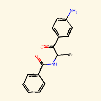 CC(C)C(NC(=O)c1ccccc1)C(=O)c1ccc(N)cc1